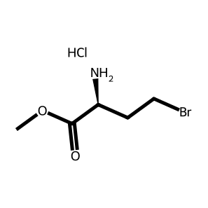 COC(=O)[C@@H](N)CCBr.Cl